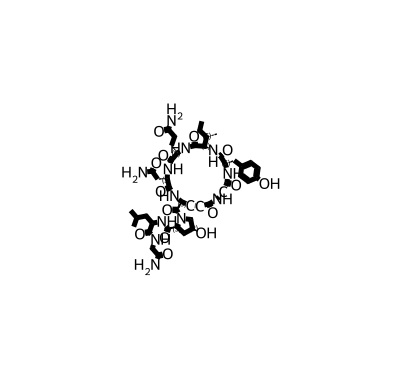 CC[C@H](C)[C@@H]1NC(=O)[C@H](Cc2ccc(O)cc2)NC(=O)CNC(=O)CC[C@@H](C(=O)N2C[C@H](O)C[C@H]2C(=O)NC(CC(C)C)C(=O)NCC(N)=O)NC(=O)[C@H](CC(N)=O)NC(=O)[C@H](CCC(N)=O)NC1=O